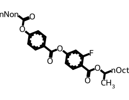 CCCCCCCCCC(=O)Oc1ccc(C(=O)Oc2ccc(C(=O)OC(C)CCCCCCCC)c(F)c2)cc1